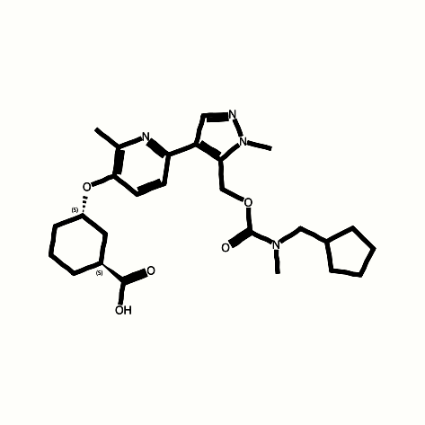 Cc1nc(-c2cnn(C)c2COC(=O)N(C)CC2CCCC2)ccc1O[C@H]1CCC[C@H](C(=O)O)C1